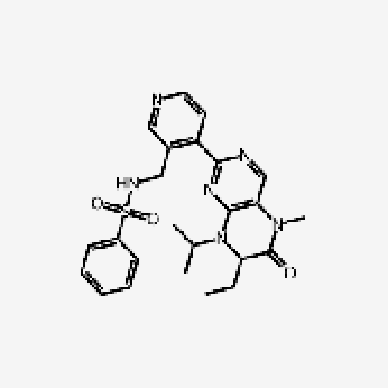 CCC1C(=O)N(C)c2cnc(-c3ccncc3CNS(=O)(=O)c3ccccc3)nc2N1C(C)C